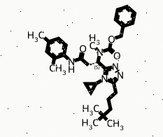 Cc1ccc(NC(=O)C[C@@H](c2nnc(CCCC(C)(C)C)n2C2CC2)N(C)C(=O)OCc2ccccc2)c(C)c1